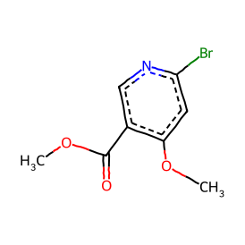 COC(=O)c1cnc(Br)cc1OC